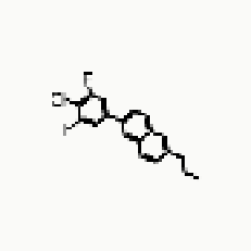 CCCc1ccc2cc(-c3cc(F)c(Cl)c(F)c3)ccc2c1